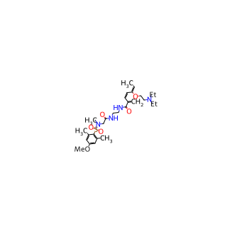 C=C(/C=C\C(=C/C)OCCN(CC)CC)C(=O)NCCNC(=O)CN(C)S(=O)(=O)c1c(C)cc(OC)cc1C